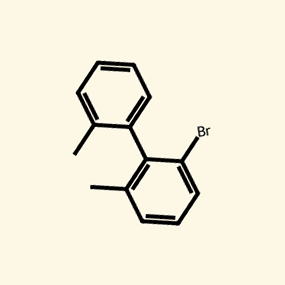 Cc1ccccc1-c1c(C)cccc1Br